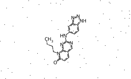 CCCCn1c(=O)ccc2cnc(Nc3ccc4[nH]nnc4c3)nc21